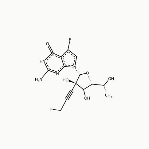 C[C@@H](O)[C@H]1O[C@@H](n2cc(F)c3c(=O)[nH]c(N)nc32)[C@@](O)(C#CCF)C1O